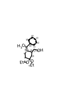 CCOC1(OCC)CCN([C@@H](C)c2ccccc2)C(CO)C1